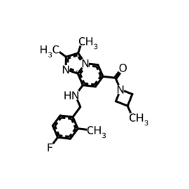 Cc1cc(F)ccc1CNc1cc(C(=O)N2CC(C)C2)cn2c(C)c(C)nc12